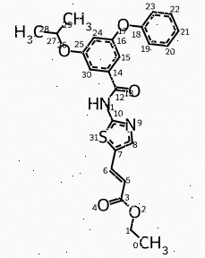 CCOC(=O)/C=C/c1cnc(NC(=O)c2cc(Oc3ccccc3)cc(OC(C)C)c2)s1